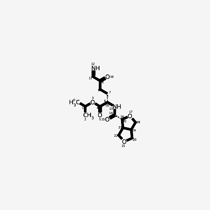 CC(C)OC(=O)[C@H](CCC(=O)C=N)NC(=O)[C@@H]1OCC2COCC21